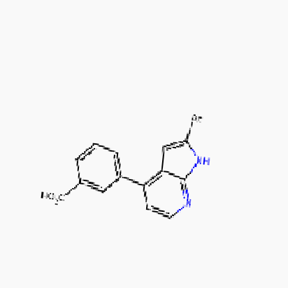 CC(=O)c1cc2c(-c3cccc(C(=O)O)c3)ccnc2[nH]1